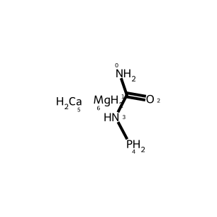 NC(=O)NP.[CaH2].[MgH2]